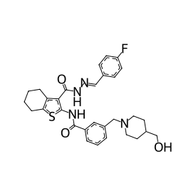 O=C(Nc1sc2c(c1C(=O)N/N=C/c1ccc(F)cc1)CCCC2)c1cccc(CN2CCC(CO)CC2)c1